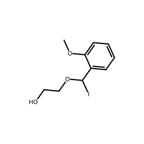 COc1ccccc1C(I)OCCO